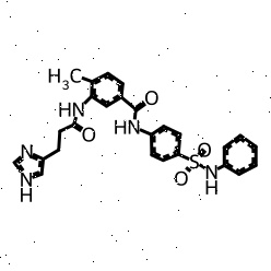 Cc1ccc(C(=O)Nc2ccc(S(=O)(=O)Nc3ccccc3)cc2)cc1NC(=O)CCc1c[nH]cn1